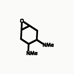 CNC1CC2OC2CC1NC